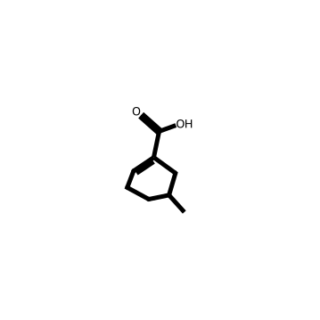 CC1CCC=C(C(=O)O)C1